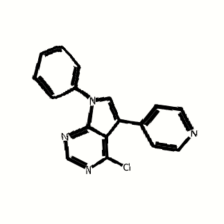 Clc1ncnc2c1c(-c1ccncc1)cn2-c1ccccc1